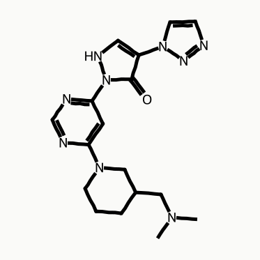 CN(C)CC1CCCN(c2cc(-n3[nH]cc(-n4ccnn4)c3=O)ncn2)C1